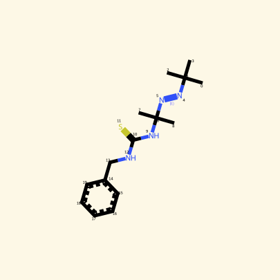 CC(C)(C)/N=N/C(C)(C)NC(=S)NCc1ccccc1